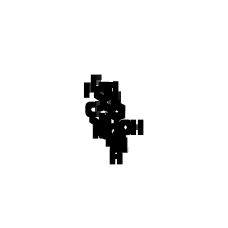 Cc1ncc(C(O)(C2=CN(C)NN2C)c2ccc3nc(Cl)c(CC(F)(F)F)c(Cl)c3c2)n1C